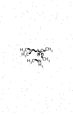 CCI.CCOP(=O)(OCC)SCCN(CC)CC.N